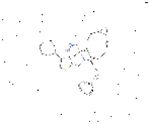 O=C([C@H]1C[C@@H]1c1ccccc1)N(CC1CC(C2CCCCCC2)CS1)C1(C2CCCCC3CC3CC2)CNNC1